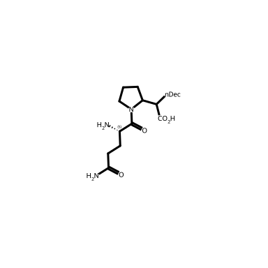 CCCCCCCCCCC(C(=O)O)C1CCCN1C(=O)[C@@H](N)CCC(N)=O